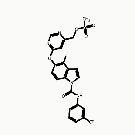 CS(=O)(=O)OCc1cc(Oc2ccc3c(ccn3C(=O)Nc3cccc(C(F)(F)F)c3)c2F)ncn1